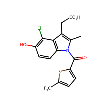 Cc1c(CC(=O)O)c2c(Cl)c(O)ccc2n1C(=O)c1ccc(C(F)(F)F)s1